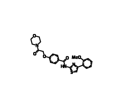 COc1ccccc1-c1csc(NC(=O)c2ccc(OCC(=O)N3CCOCC3)cc2)n1